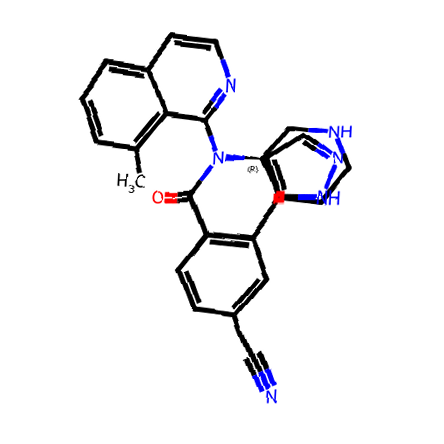 Cc1cccc2ccnc(N(C(=O)c3ccc(C#N)cc3-c3ccn[nH]3)[C@@H]3CCCNC3)c12